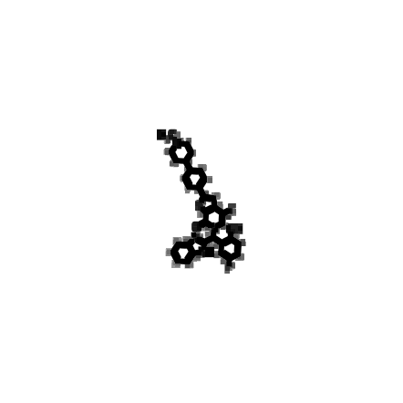 CN1CCC(c2ccc(-c3cc4c(F)cn(C(c5nc6ccccc6[nH]5)c5cc(F)ccc5O)c(=O)c4s3)cc2)CC1